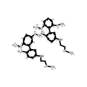 COCCNc1ccc(N)c(-c2c(OC)cccc2OC)c1.COCCNc1ccc(N)c(-c2cc(OC)ccc2OC)c1